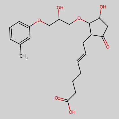 Cc1cccc(OCC(O)COC2C(O)CC(=O)C2CC=CCCCC(=O)O)c1